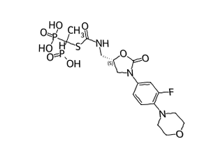 CC(SC(=O)NC[C@H]1CN(c2ccc(N3CCOCC3)c(F)c2)C(=O)O1)([PH](=O)O)P(=O)(O)O